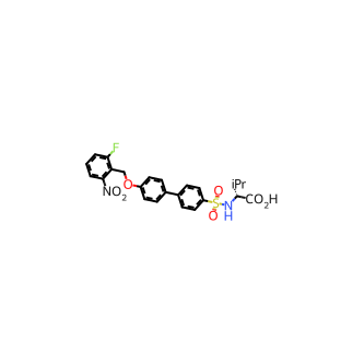 CC(C)[C@@H](NS(=O)(=O)c1ccc(-c2ccc(OCc3c(F)cccc3[N+](=O)[O-])cc2)cc1)C(=O)O